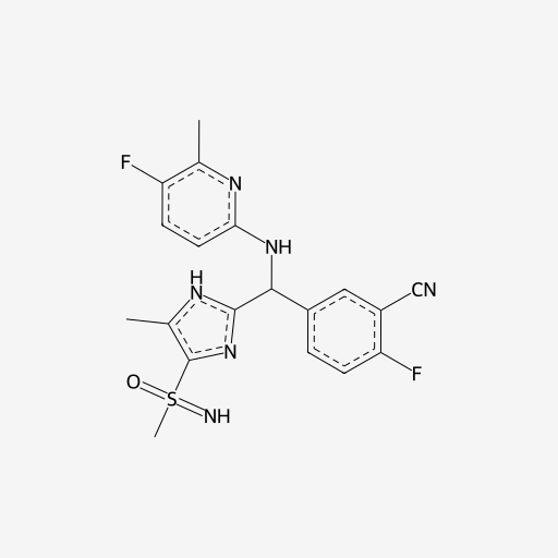 Cc1nc(NC(c2ccc(F)c(C#N)c2)c2nc(S(C)(=N)=O)c(C)[nH]2)ccc1F